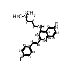 CN(C)CCCNc1nc(C=Cc2ccc(F)cc2)nc2ccc(F)cc12